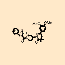 COc1ccc(C2=NN(C3CCN(C(=O)[C@H](CC4CCCCC4)NC(=O)O)CC3)C(=O)C(C)(C)C2)cc1OC